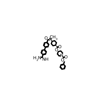 CN(C(=O)c1ccc(-c2ccc(C(=N)N)cc2)cc1)[C@H]1CC[C@H](C(=O)OC2CCN(C(=O)OCc3ccccc3)CC2)CC1